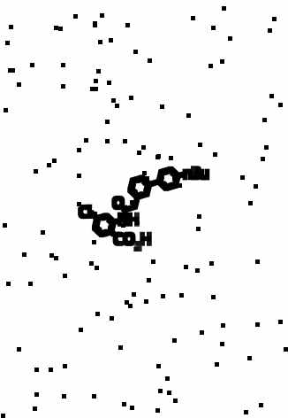 CCCCc1ccc(-c2cccc(CC(=O)Nc3cc(Cl)ccc3C(=O)O)c2)cc1